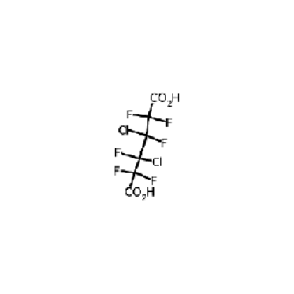 O=C(O)C(F)(F)C(F)(Cl)C(F)(Cl)C(F)(F)C(=O)O